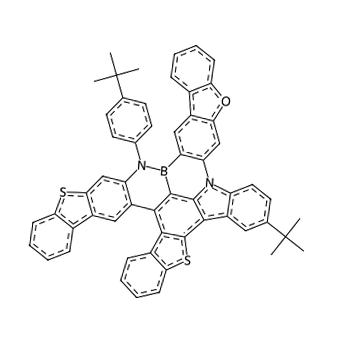 CC(C)(C)c1ccc(N2B3c4cc5c(cc4-n4c6ccc(C(C)(C)C)cc6c6c7sc8ccccc8c7c(c3c64)-c3cc4c(cc32)sc2ccccc24)oc2ccccc25)cc1